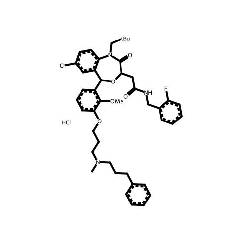 COc1c(OCCCN(C)CCCc2ccccc2)cccc1C1OC(CC(=O)NCc2ccccc2F)C(=O)N(CC(C)(C)C)c2ccc(Cl)cc21.Cl